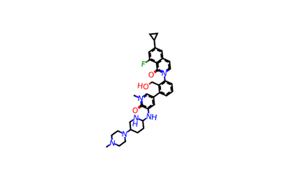 CN1CCN(C2CCC(Nc3cc(-c4cccc(-n5ccc6cc(C7CC7)cc(F)c6c5=O)c4CO)cn(C)c3=O)NC2)CC1